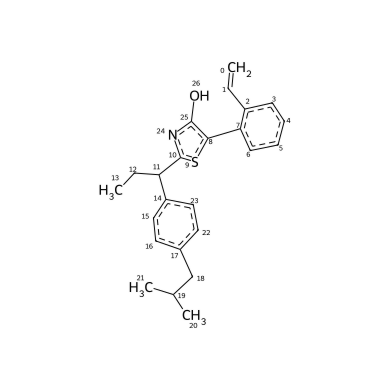 C=Cc1ccccc1-c1sc(C(CC)c2ccc(CC(C)C)cc2)nc1O